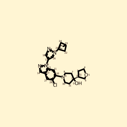 OC1([C@H]2CCOC2)CCN(c2cc3c(cnn3-c3cnn(C45CC(C4)C5)c3)cc2Cl)CC1